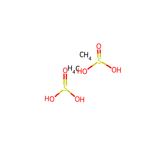 C.C.O=S(O)O.O=S(O)O